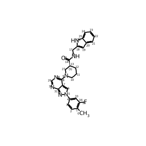 Cc1ccc(-n2cc3c(N4CCC[C@H](C(=O)NCc5cc6ccccc6[nH]5)C4)ncnc3n2)cc1F